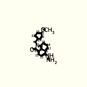 COc1ccc(CN2C(=O)c3ccc(NN)c4cccc2c34)cc1